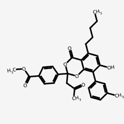 CCCCCc1cc(O)c(-c2cccc(C)c2)c2c1C(=O)OC(CC(C)=O)(c1ccc(C(=O)OC)cc1)O2